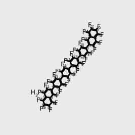 Fc1c(F)c(-c2c(F)c(F)c(-c3c(F)c(F)c4c(F)c(F)c(F)c(F)c4c3F)c(F)c2F)c(F)c(F)c1-c1c(F)c(F)c(-c2c(F)c(F)c(-c3c(F)c(P)c4c(F)c(F)c(F)c(F)c4c3F)c(F)c2F)c(F)c1F